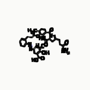 CO[C@H]1Nc2c(ccc(C)c2OC(=O)CCc2ccccc2/N=N/c2ccc(O)c(C(=O)O)c2)C(=O)N2C=C(CCC(N)=O)CC12